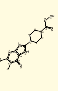 Cn1c(Cl)nc2nc(N3CCN(C(=O)OC(C)(C)C)CC3)[nH]c2c1=O